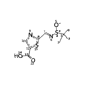 CC(C)(C)[S+]([O-])N=Cc1ncc(C(=O)O)s1